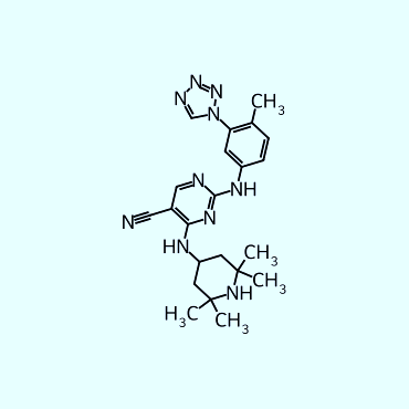 Cc1ccc(Nc2ncc(C#N)c(NC3CC(C)(C)NC(C)(C)C3)n2)cc1-n1cnnn1